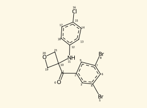 O=C(c1cc(Br)cc(Br)c1)C1(Nc2ccc(Cl)cc2)COC1